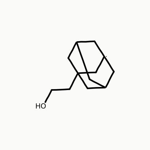 OCCC12C[C]3CC(CC(C3)C1)C2